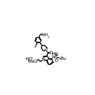 CCCCS(=O)(=O)Nc1cccc2c1c(C(=O)N1CCC(c3cc(CN)ccc3F)CC1)cn2CCOC.Cl